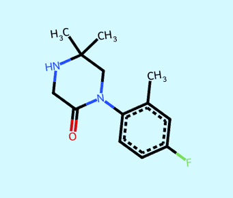 Cc1cc(F)ccc1N1CC(C)(C)NCC1=O